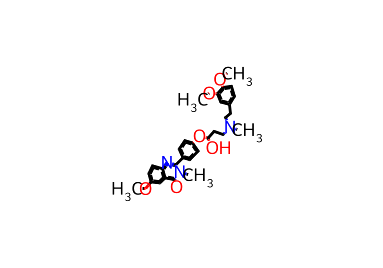 COc1ccc2nc(-c3ccc(OC(O)CCN(C)CCc4ccc(OC)c(OC)c4)cc3)n(C)c(=O)c2c1